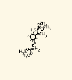 COC(OC)[SiH2]CCc1cccc(C(C)[SiH2]C(OC)OC)c1